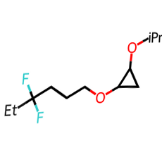 CCC(F)(F)CCCOC1CC1OC(C)C